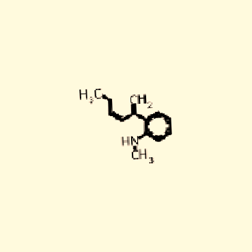 C=C(/C=C\CC)c1ccccc1NC